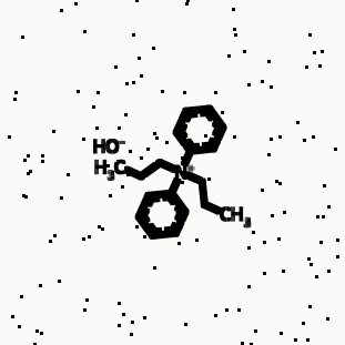 CCC[N+](CCC)(c1ccccc1)c1ccccc1.[OH-]